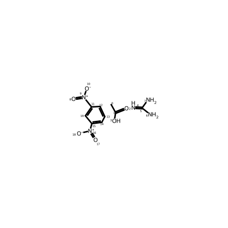 CC(=O)O.N=C(N)N.O=[N+]([O-])c1cccc([N+](=O)[O-])c1